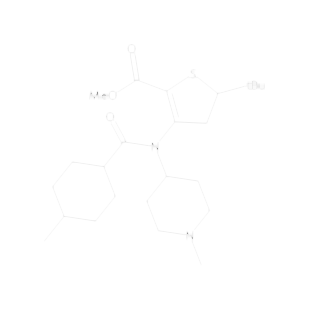 COC(=O)C1=C(N(C(=O)C2CCC(C)CC2)C2CCN(C)CC2)CC(C(C)(C)C)S1